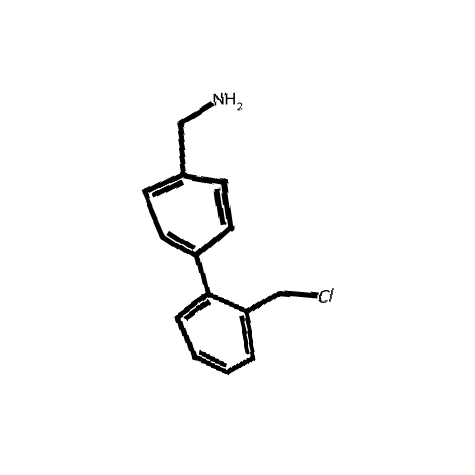 NCc1ccc(-c2ccccc2CCl)cc1